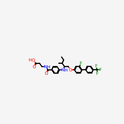 CCC(C)C(COc1ccc(-c2ccc(C(F)(F)F)cc2)c(F)c1)Nc1ccc(C(=O)NCCC(=O)O)cc1